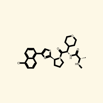 CN[C@@H](C)C(=O)N[C@H](C(=O)N1CCC[C@H]1c1nc(-c2cccc3c(Cl)cccc23)cs1)C1CCOCC1